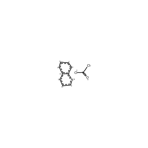 O=C(Cl)Cl.c1ccc2ncccc2c1